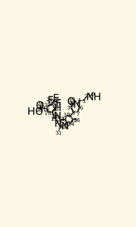 CNCCCn1ccc(-c2cc3c(NC(C)c4cc(C(=O)O)cc(C(F)(F)F)c4)nc(C)nc3cc2C)cc1=O